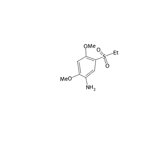 CCS(=O)(=O)c1cc(N)c(OC)cc1OC